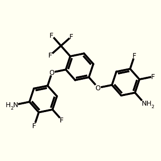 Nc1cc(Oc2ccc(C(F)(F)F)c(Oc3cc(N)c(F)c(F)c3)c2)cc(F)c1F